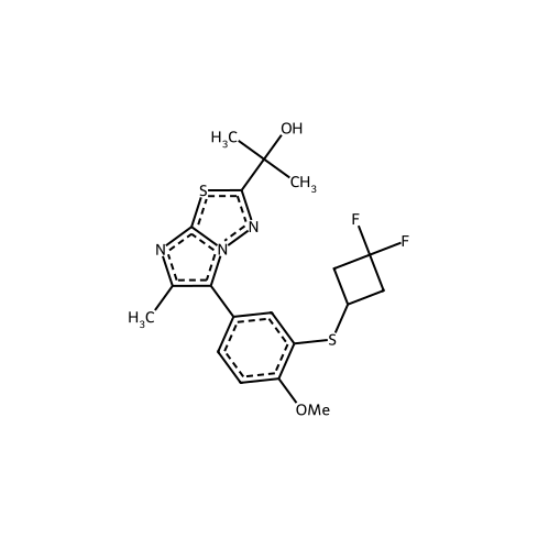 COc1ccc(-c2c(C)nc3sc(C(C)(C)O)nn23)cc1SC1CC(F)(F)C1